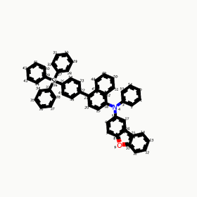 c1ccc(N(c2ccc3oc4ccccc4c3c2)c2ccc(-c3ccc([Si](c4ccccc4)(c4ccccc4)c4ccccc4)cc3)c3ccccc23)cc1